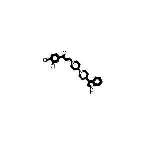 O=C(/C=C/N1CCC(N2CCC(c3c[nH]c4ccccc34)CC2)CC1)c1ccc(Cl)c(Cl)c1